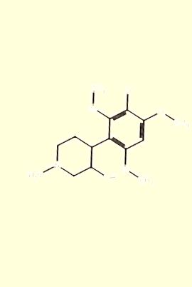 COc1cc(OC)c(C2CCN(C)CC2O)c(OC)c1Br